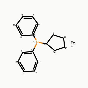 [Fe].c1ccc(P(c2ccccc2)C2CCCC2)cc1